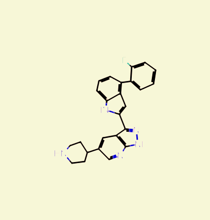 Fc1ccccc1-c1cccc2[nH]c(-c3n[nH]c4ncc(C5CCNCC5)cc34)cc12